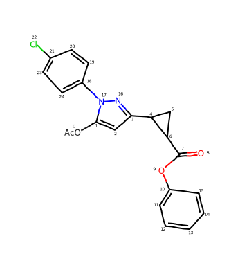 CC(=O)Oc1cc(C2CC2C(=O)Oc2ccccc2)nn1-c1ccc(Cl)cc1